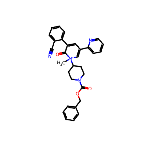 C[N+]1(C2CCN(C(=O)OCc3ccccc3)CC2)C=C(c2ccccn2)C=C(c2ccccc2C#N)C1=O